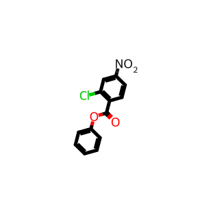 O=C(Oc1ccccc1)c1ccc([N+](=O)[O-])cc1Cl